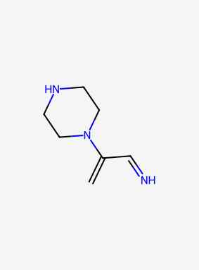 C=C(C=N)N1CCNCC1